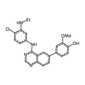 CCNc1cc(Nc2ncnc3ccc(-c4ccc(O)c(OC)c4)cc23)ccc1Cl